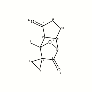 CC12OC(C(=O)C13CC3)C1CCC(=O)C12